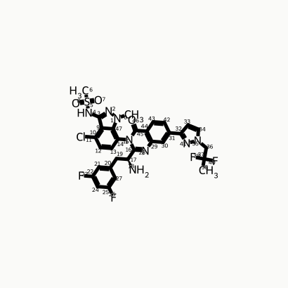 Cn1nc(NS(C)(=O)=O)c2c(Cl)ccc(-n3c([C@@H](N)Cc4cc(F)cc(F)c4)nc4cc(-c5ccn(CC(C)(F)F)n5)ccc4c3=O)c21